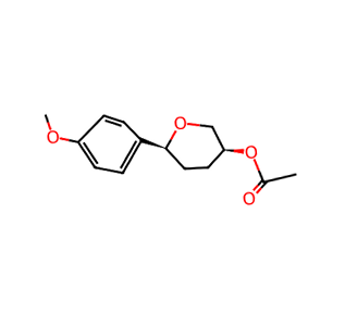 COc1ccc([C@@H]2CC[C@H](OC(C)=O)CO2)cc1